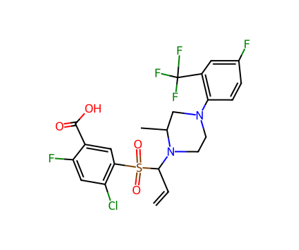 C=CC(N1CCN(c2ccc(F)cc2C(F)(F)F)CC1C)S(=O)(=O)c1cc(C(=O)O)c(F)cc1Cl